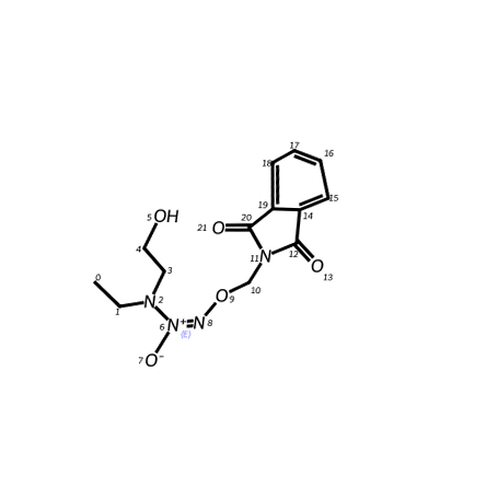 CCN(CCO)/[N+]([O-])=N\OCN1C(=O)c2ccccc2C1=O